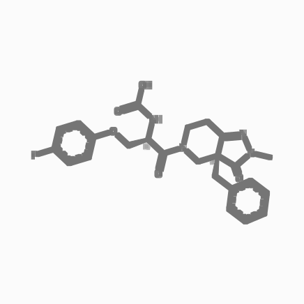 CN1N=C2CCN(C(=O)[C@@H](COc3ccc(F)cc3)NC(=O)O)C[C@@]2(Cc2ccccc2)C1=O